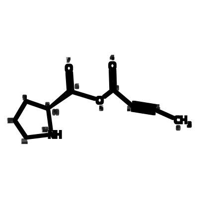 CC#CC(=O)OC(=O)[C@@H]1CCCN1